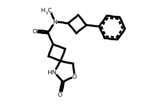 CN(C(=O)C1CC2(COC(=O)N2)C1)C1CC(c2ccccc2)C1